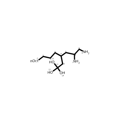 CCCCCCCCCCCC(CC(N)CN)CC(O)(O)O